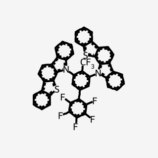 Fc1c(F)c(F)c(-c2cc(-n3c4ccccc4c4ccc5c6ccccc6sc5c43)c(C(F)(F)F)c(-n3c4ccccc4c4ccc5c6ccccc6sc5c43)c2)c(F)c1F